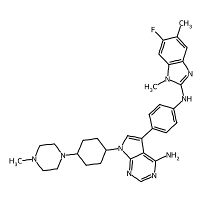 Cc1cc2nc(Nc3ccc(-c4cn(C5CCC(N6CCN(C)CC6)CC5)c5ncnc(N)c45)cc3)n(C)c2cc1F